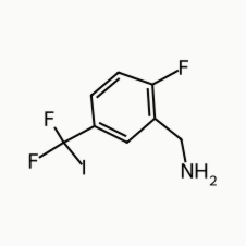 NCc1cc(C(F)(F)I)ccc1F